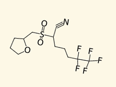 N#CC(CCCC(F)(F)C(F)(F)F)S(=O)(=O)CC1CCCO1